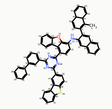 CC1=C(c2cc3ccccc3cc2Nc2ccc(-c3nc(-c4cccc(-c5ccccc5)c4)nc(-c4ccc5sc6ccccc6c5c4)n3)c3c2oc2ccccc23)C=CC2C=CC=CC12